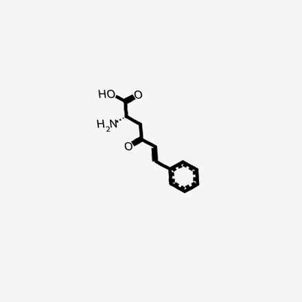 N[C@@H](CC(=O)C=Cc1ccccc1)C(=O)O